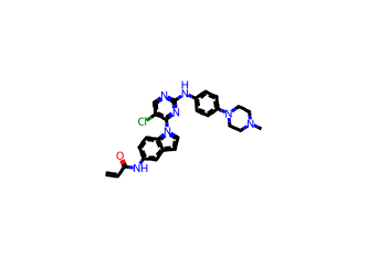 C=CC(=O)Nc1ccc2c(ccn2-c2nc(Nc3ccc(N4CCN(C)CC4)cc3)ncc2Cl)c1